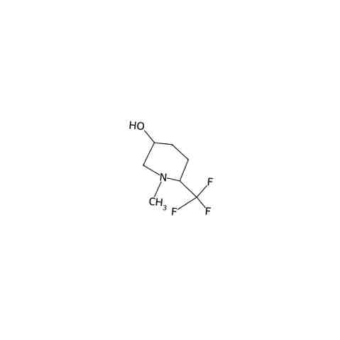 CN1CC(O)CCC1C(F)(F)F